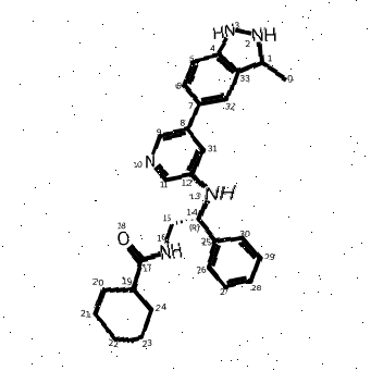 CC1NNc2ccc(-c3cncc(N[C@@H](CNC(=O)C4CCCCC4)c4ccccc4)c3)cc21